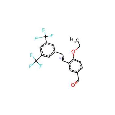 CCOc1ccc(C=O)cc1/C=C/c1cc(C(F)(F)F)cc(C(F)(F)F)c1